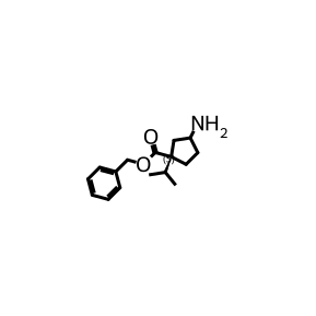 CC(C)[C@]1(C(=O)OCc2ccccc2)CCC(N)C1